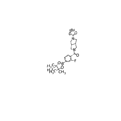 CC(C)(C)OC(=O)N1CC2CN(C(=O)c3ccc(B4OC(C)(C)C(C)(C)O4)cc3F)CC2C1